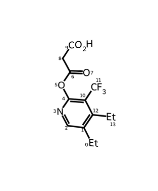 CCc1cnc(OC(=O)CC(=O)O)c(C(F)(F)F)c1CC